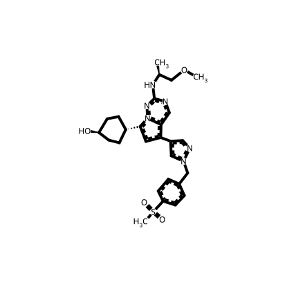 COC[C@H](C)Nc1ncc2c(-c3cnn(Cc4ccc(S(C)(=O)=O)cc4)c3)cc([C@H]3CC[C@H](O)CC3)n2n1